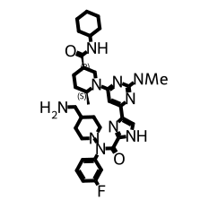 CNc1nc(-c2c[nH]c(C(=O)N(c3cccc(F)c3)N3CCC(CN)CC3)n2)cc(N2C[C@H](C(=O)NC3CCCCC3)CC[C@@H]2C)n1